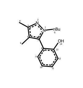 CCCCn1nc(C)c(C)c1-c1ccccc1O